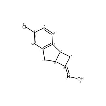 O/N=C1\CC2c3ccc(Cl)cc3CC12